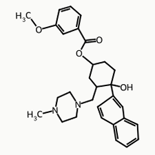 COc1cccc(C(=O)OC2CCC(O)(c3ccc4ccccc4c3)C(CN3CCN(C)CC3)C2)c1